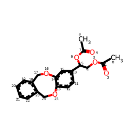 CC(=O)OCC(OC(C)=O)c1ccc2c(c1)OCc1ccccc1CO2